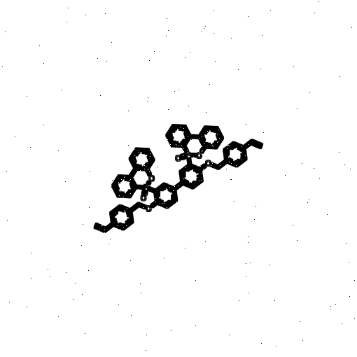 C=Cc1ccc(COc2ccc(-c3ccc(OCc4ccc(C=C)cc4)c(P4(=O)Oc5ccccc5-c5ccccc54)c3)cc2P2(=O)Oc3ccccc3-c3ccccc32)cc1